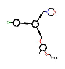 Cc1cc(OCC#Cc2cc(C#CCN3CCOCC3)cc(C#Cc3ccc(Cl)cc3)c2)ccc1OCC(=O)O